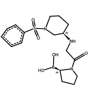 O=C(CN[C@@H]1CCCN(S(=O)(=O)c2ccccc2)C1)N1CCC[C@H]1B(O)O